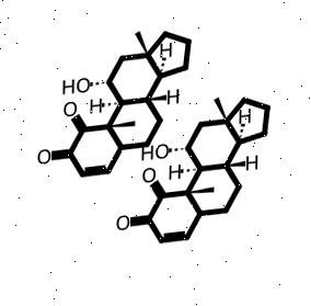 C[C@@]12CCC[C@H]1[C@@H]1CCC3C=CC(=O)C(=O)[C@]3(C)[C@H]1[C@H](O)C2.C[C@@]12CCC[C@H]1[C@@H]1CCC3C=CC(=O)C(=O)[C@]3(C)[C@H]1[C@H](O)C2